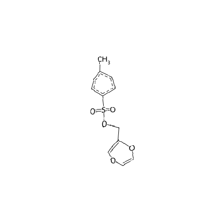 Cc1ccc(S(=O)(=O)OCC2=COC=CO2)cc1